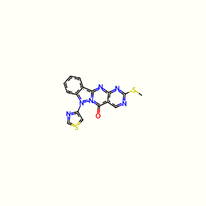 CSc1ncc2c(=O)n3c(nc2n1)c1ccccc1n3-c1cscn1